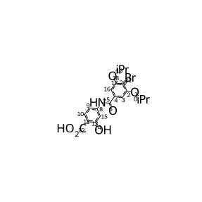 CC(C)Oc1cc(C(=O)Nc2ccc(C(=O)O)c(O)c2)cc(OC(C)C)c1Br